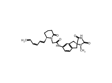 C=C/C=C\C=C\[C@H]1CCCC(=O)N1CC(=O)Nc1ccc2c(c1)C[C@@]1(C2)C(=O)NC(=O)N1C